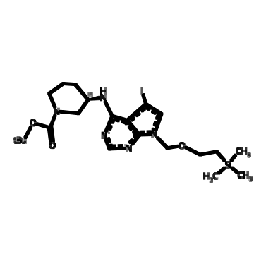 CC(C)(C)OC(=O)N1CCC[C@@H](Nc2ncnc3c2c(I)cn3COCC[Si](C)(C)C)C1